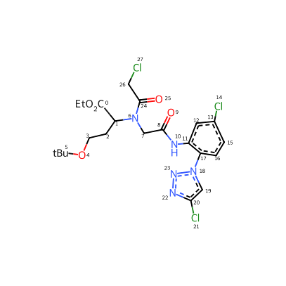 CCOC(=O)C(CCOC(C)(C)C)N(CC(=O)Nc1cc(Cl)ccc1-n1cc(Cl)nn1)C(=O)CCl